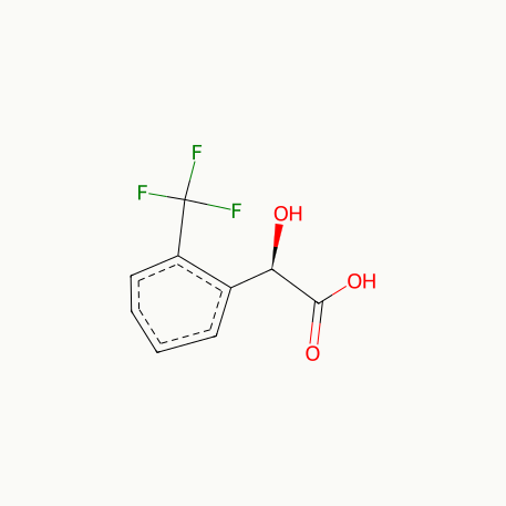 O=C(O)[C@H](O)c1ccccc1C(F)(F)F